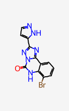 O=c1[nH]c2c(Br)cccc2c2nc(-c3ccn[nH]3)nn12